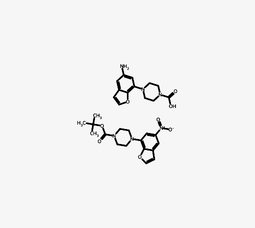 CC(C)(C)OC(=O)N1CCN(c2cc([N+](=O)[O-])cc3ccoc23)CC1.Nc1cc(N2CCN(C(=O)O)CC2)c2occc2c1